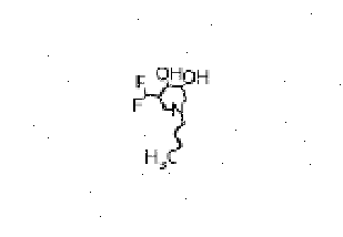 CCCCN1CC(C(F)F)[C@@H](O)[C@H](O)C1